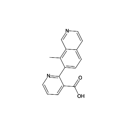 Cc1c(-c2ncccc2C(=O)O)ccc2ccncc12